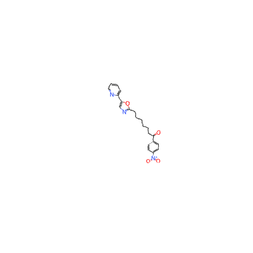 O=C(CCCCCCc1ncc(-c2ccccn2)o1)c1ccc([N+](=O)[O-])cc1